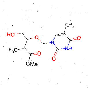 COC(=O)C(C(CO)OCn1cc(C)c(=O)[nH]c1=O)C(F)(F)F